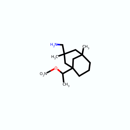 CC(O[N+](=O)[O-])C12CCCC(C)(CC(C)(CN)C1)C2